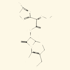 CCO/N=C(\C(=O)N[C@@H]1C(=O)N2C(C(=O)O)=C(CCl)CS[C@H]12)c1nsc(N)n1